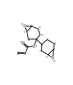 C=CC(=O)OC1(C2CCC3OC3C2)CCC2OC2C1